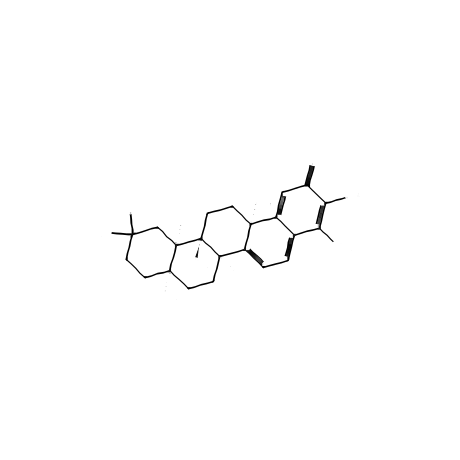 CC(=O)OC1=C(C)C2=CC=C3[C@@](C)(CC[C@@]4(C)[C@@H]5CC(C)(C)CC[C@]5(C)CC[C@]34C)C2=CC1=O